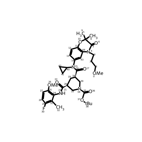 COCCCN1C(=O)C(C)(C)Oc2ccc(N(C(=O)[C@@H]3C[C@H](C(=O)Nc4c(OC)ccc(F)c4C)CN(C(=O)OC(C)(C)C)C3)C3CC3)cc21